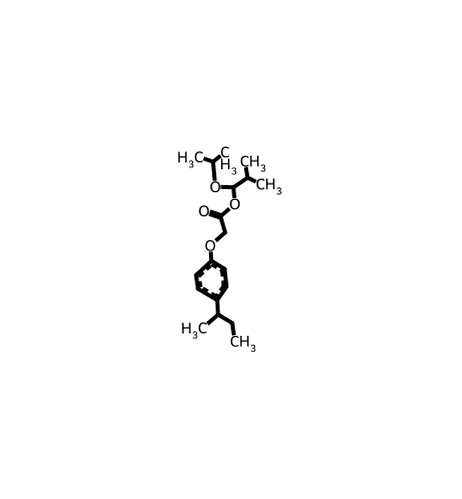 CCC(C)c1ccc(OCC(=O)OC(OC(C)C)C(C)C)cc1